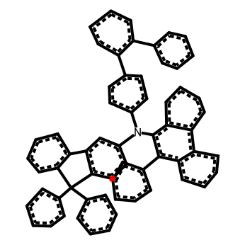 c1ccc(-c2ccccc2-c2ccc(N(c3ccc4c(c3)-c3ccccc3C4(c3ccccc3)c3ccccc3)c3c(-c4ccccc4)c4ccccc4c4ccccc34)cc2)cc1